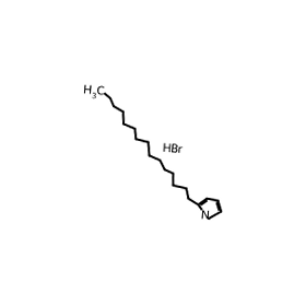 Br.CCCCCCCCCCCCCCCc1ccccn1